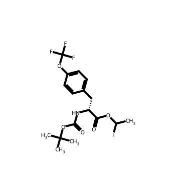 CC(I)OC(=O)[C@@H](Cc1ccc(OC(F)(F)F)cc1)NC(=O)OC(C)(C)C